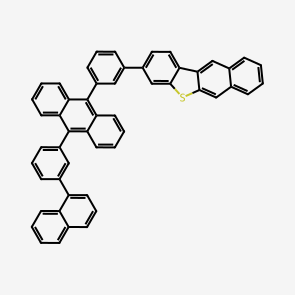 c1cc(-c2ccc3c(c2)sc2cc4ccccc4cc23)cc(-c2c3ccccc3c(-c3cccc(-c4cccc5ccccc45)c3)c3ccccc23)c1